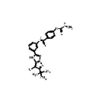 CNC(=O)Oc1ccc(C(=O)Nc2cccc(-c3nn4nc(C(C)(C)C)c(Cl)c4[nH]3)c2)cc1